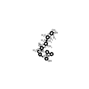 Cc1cc(Oc2c(C)cc(C(C)(C)c3cc(C)c(Oc4cc(C)c(OC(C)(C)Cc5ccc(COc6ccc(O)cc6P6(=O)Oc7ccccc7-c7ccccc76)cc5)c(C)c4)c(C)c3)cc2C)cc(C)c1O